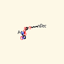 CCCCCCCCCCCCCCCCOC[C@H]1CO[C@H](COC(=O)N(Cc2cccc[n+]2[O-])C(C)=O)C1